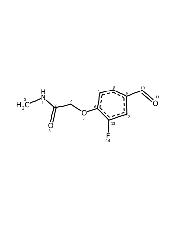 CNC(=O)COc1ccc(C=O)cc1F